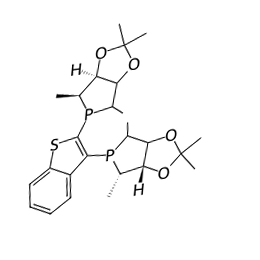 CC1C2OC(C)(C)O[C@@H]2[C@H](C)P1c1sc2ccccc2c1P1C(C)C2OC(C)(C)O[C@@H]2[C@@H]1C